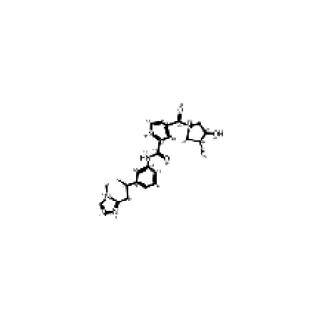 CC(Cc1nncn1C)c1cccc(NC(=O)c2cc(C(=O)N3CC(O)C(F)C3)ccn2)c1